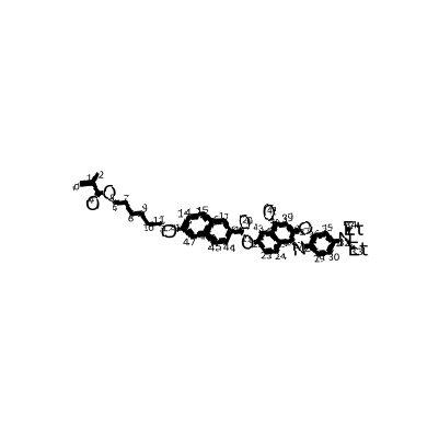 C=C(C)C(=O)OCCCCCCOc1ccc2cc(C(=O)Oc3ccc4c5nc6ccc(N(CC)CC)cc6oc-5cc(=O)c4c3)ccc2c1